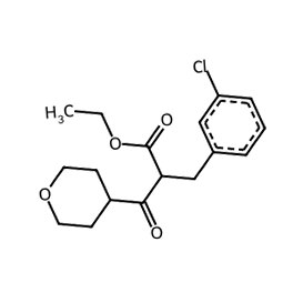 CCOC(=O)C(Cc1cccc(Cl)c1)C(=O)C1CCOCC1